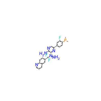 CP(C)c1ccc(-c2cnc(N)c(N(N)C(F)(F)c3ccc4ncccc4c3)n2)cc1F